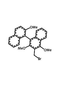 COc1ccc2ccccc2c1-c1c(OC)c(CBr)c(OC)c2ccccc12